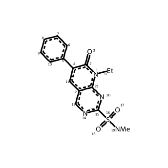 CCn1c(=O)c(-c2ccccc2)cc2cnc(S(=O)(=O)NC)nc21